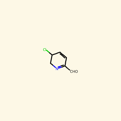 O=CC1=NCC(Cl)C=C1